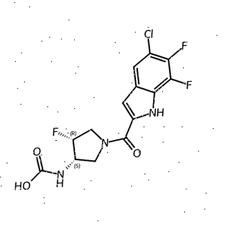 O=C(O)N[C@H]1CN(C(=O)c2cc3cc(Cl)c(F)c(F)c3[nH]2)C[C@H]1F